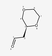 O=CC[C@H]1COCCO1